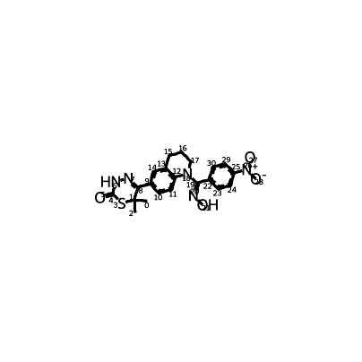 CC1(C)SC(=O)NN=C1c1ccc2c(c1)CCCN2C(=NO)c1ccc([N+](=O)[O-])cc1